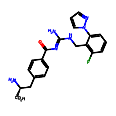 N/C(=N\C(=O)c1ccc(C[C@H](N)C(=O)O)cc1)NCc1c(F)cccc1-n1cccn1